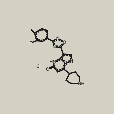 Cc1ccc(-c2noc(-c3cnn4c(C5CCNCC5)cc(=O)[nH]c34)n2)cc1F.Cl